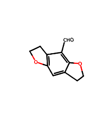 O=Cc1c2c(cc3c1OCC3)OCC2